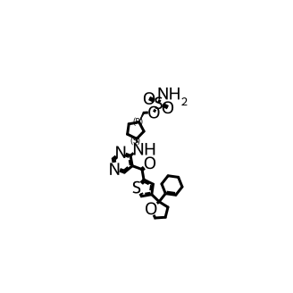 NS(=O)(=O)OC[C@@H]1CC[C@H](Nc2ncncc2C(=O)c2cc(C3(C4=CCCCC4)CCCO3)cs2)C1